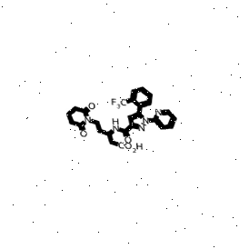 O=C(O)CC(CCN1C(=O)CCCC1=O)NC(=O)c1cc(-c2ccccc2C(F)(F)F)n(-c2ccccn2)n1